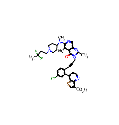 Cc1nc2cnc(N(C)C3CCN(CCC(C)(F)F)CC3)c(C#N)c2c(=O)n1CC#Cc1ccc(Cl)cc1-c1ccnc2c(C(=O)O)csc12